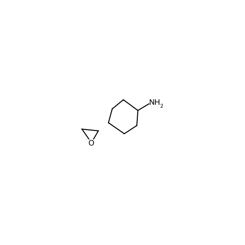 C1CO1.NC1CCCCC1